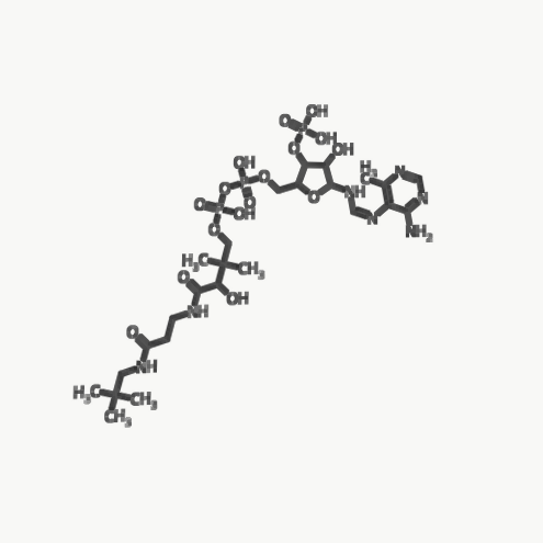 Cc1ncnc(N)c1/N=C\NC1OC(COP(=O)(O)OP(=O)(O)OCC(C)(C)C(O)C(=O)NCCC(=O)NCC(C)(C)C)C(OP(=O)(O)O)C1O